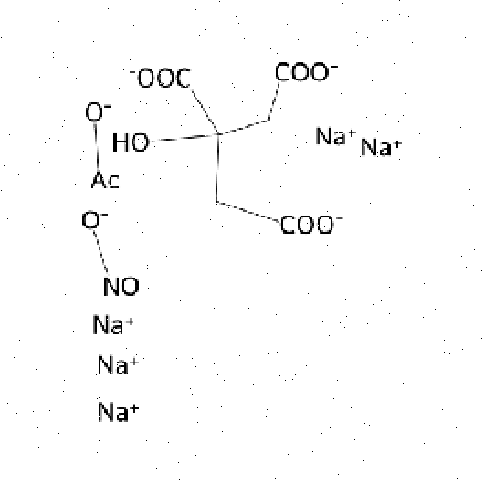 CC(=O)[O-].O=C([O-])CC(O)(CC(=O)[O-])C(=O)[O-].O=N[O-].[Na+].[Na+].[Na+].[Na+].[Na+]